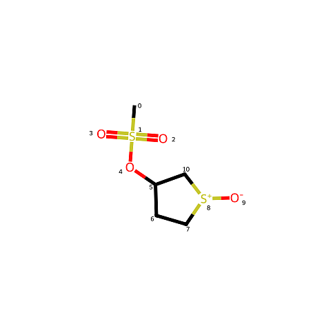 CS(=O)(=O)OC1CC[S+]([O-])C1